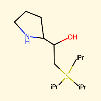 CC(C)S(CC(O)C1CCCN1)(C(C)C)C(C)C